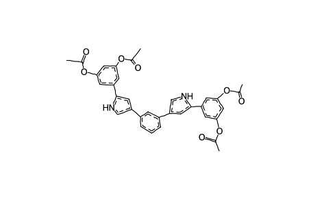 CC(=O)Oc1cc(OC(C)=O)cc(-c2cc(-c3cccc(-c4c[nH]c(-c5cc(OC(C)=O)cc(OC(C)=O)c5)c4)c3)c[nH]2)c1